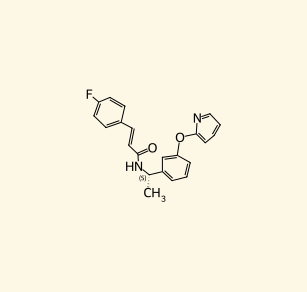 C[C@H](NC(=O)C=Cc1ccc(F)cc1)c1cccc(Oc2ccccn2)c1